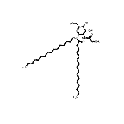 CCCCCCCCCCCCCCCCN(C(=O)CCCCCCCCCCCCCCC)[C@@H]1O[C@H](CO)[C@@H](O)[C@H](O)[C@H]1NC(=O)CN